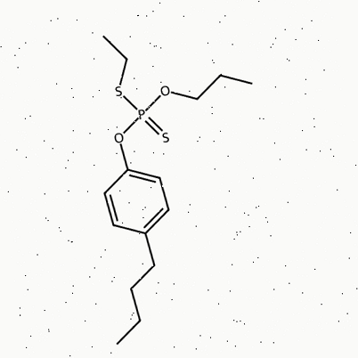 CCCCc1ccc(OP(=S)(OCCC)SCC)cc1